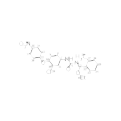 CCOC(=NC(=O)Nc1ccc(Oc2ccc([N+](=O)[O-])cc2)c(Cl)c1)c1ccccc1C